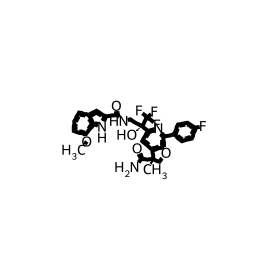 COc1cccc2cc(C(=O)NC[C@](O)(c3cc4c(c(-c5ccc(F)cc5)n3)OC[C@]4(C)C(N)=O)C(F)(F)F)[nH]c12